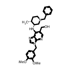 COc1ccc(Cn2cnc3c(N[C@H]4CN(Cc5ccccc5)CC[C@H]4C)c(CO)cnc32)cc1OC